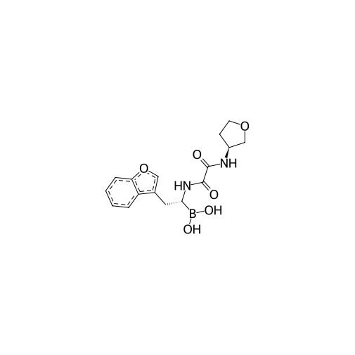 O=C(N[C@H]1CCOC1)C(=O)N[C@@H](Cc1coc2ccccc12)B(O)O